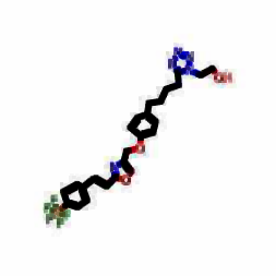 OCCn1nnnc1CCCCc1ccc(OCc2coc(C=Cc3ccc(S(F)(F)(F)(F)F)cc3)n2)cc1